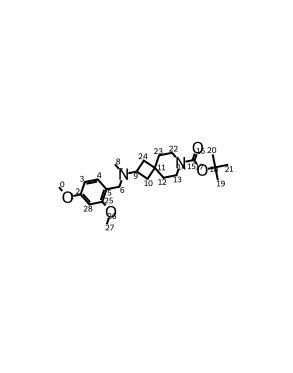 COc1ccc(CN(C)C2CC3(CCN(C(=O)OC(C)(C)C)CC3)C2)c(OC)c1